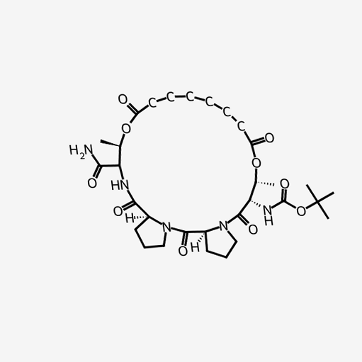 C[C@H]1OC(=O)CCCCCCC(=O)O[C@H](C)[C@H](NC(=O)OC(C)(C)C)C(=O)N2CCC[C@H]2C(=O)N2CCC[C@H]2C(=O)NC1C(N)=O